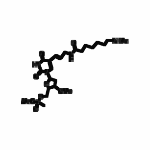 COC1CC(n2cc(/C=C/CNC(=O)CCCCCCNC(C)=O)c(=O)[nH]c2=O)OC1COP(C)(=O)OC